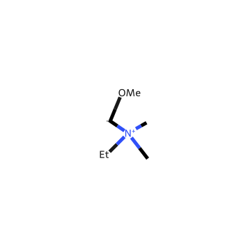 CC[N+](C)(C)[CH]OC